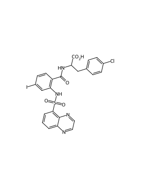 O=C(NC(Cc1ccc(Cl)cc1)C(=O)O)c1ccc(I)cc1NS(=O)(=O)c1cccc2nccnc12